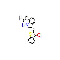 Cc1cccc2c(C=C3Sc4ccccc4C3=O)c[nH]c12